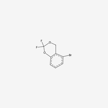 FC1(F)OCc2c(Br)cccc2O1